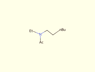 CCCCCCN(CC)C(C)=O